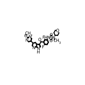 COc1ncc(-c2cnc3[nH]cc(C(=O)c4c(F)ccc(NS(=O)(=O)N(C)C5CCOCC5)c4F)c3c2)cn1